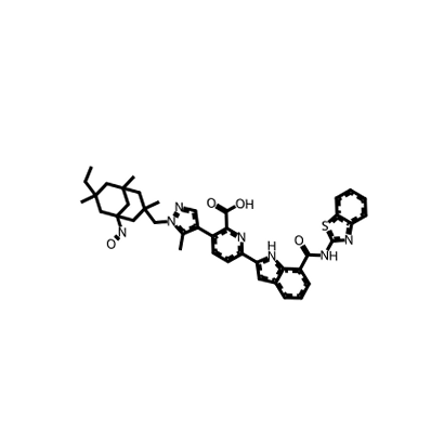 CCC1(C)CC2(C)CC(C)(Cn3ncc(-c4ccc(-c5cc6cccc(C(=O)Nc7nc8ccccc8s7)c6[nH]5)nc4C(=O)O)c3C)CC(N=O)(C1)C2